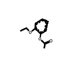 CCOc1ccccc1OC(C)=O